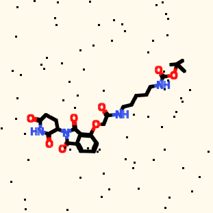 CC(C)(C)OC(=O)NCCCCCNC(=O)COc1cccc2c1C(=O)N(C1CCC(=O)NC1=O)C2=O